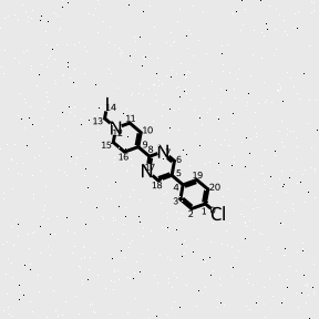 Clc1ccc(-c2cnc(C3=CCN(CI)CC3)nc2)cc1